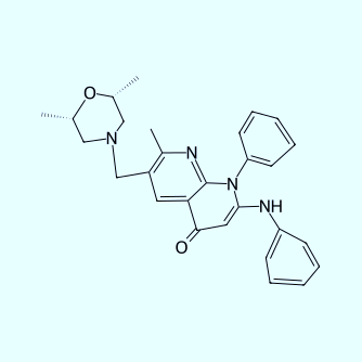 Cc1nc2c(cc1CN1C[C@@H](C)O[C@@H](C)C1)c(=O)cc(Nc1ccccc1)n2-c1ccccc1